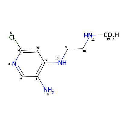 Nc1cnc(Cl)cc1NCCNC(=O)O